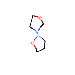 [CH]1OCCN1N1CCCO1